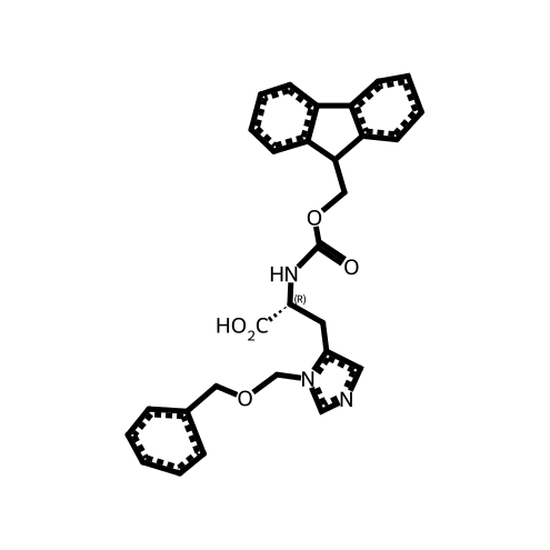 O=C(N[C@H](Cc1cncn1COCc1ccccc1)C(=O)O)OCC1c2ccccc2-c2ccccc21